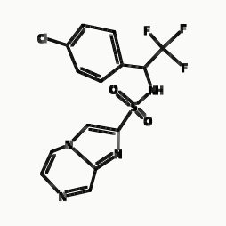 O=S(=O)(NC(c1ccc(Cl)cc1)C(F)(F)F)c1cn2ccncc2n1